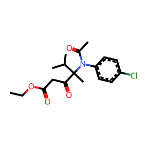 CCOC(=O)CC(=O)C(C)(C(C)C)N(C(C)=O)c1ccc(Cl)cc1